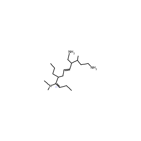 CC/C=C(\C(CC=CC(CN)C(C)CCN)CCC)N(C)C